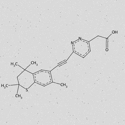 Cc1cc2c(cc1C#Cc1ccc(CC(=O)O)nn1)C(C)(C)CC(C)(C)S2